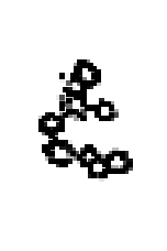 c1ccc(-c2nc(-c3cccc(-c4cccc(-c5ccc6c(ccc7ccccc76)c5)c4)c3)nc3sc4ccccc4c23)cc1